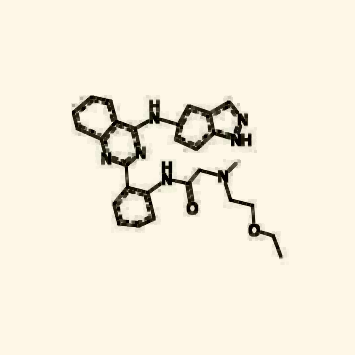 CCOCCN(C)CC(=O)Nc1ccccc1-c1nc(Nc2ccc3[nH]ncc3c2)c2ccccc2n1